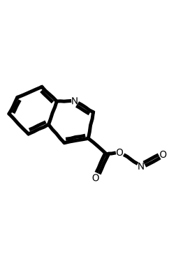 O=NOC(=O)c1cnc2ccccc2c1